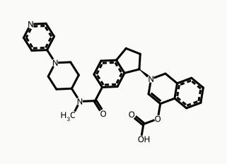 CN(C(=O)c1ccc2c(c1)[C@H](N1C=C(OC(=O)O)c3ccccc3C1)CC2)C1CCN(c2ccncc2)CC1